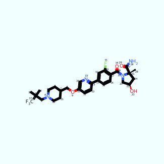 CC(C)(CN1CCC(COc2ccc(-c3ccc(C(=O)N4C[C@H](O)C[C@@]4(C)C(N)=O)c(F)c3)nc2)CC1)C(F)(F)F